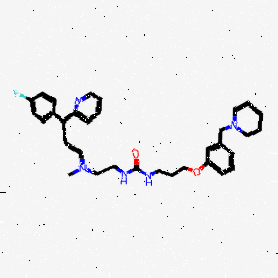 CN(CCNC(=O)NCCCOc1cccc(CN2CCCCC2)c1)CCC(c1ccc(F)cc1)c1ccccn1